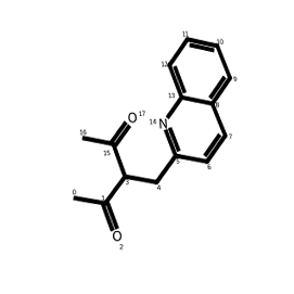 CC(=O)C(Cc1ccc2ccccc2n1)C(C)=O